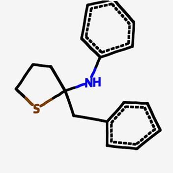 c1ccc(CC2(Nc3ccccc3)CCCS2)cc1